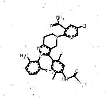 Cc1cccc(C)c1-n1nc2c(c1-c1cc(F)c(NC(N)=O)cc1F)CN(c1ncc(Cl)cc1C(N)=O)CC2